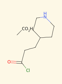 CC(=O)O.O=C(Cl)CCC1CCNCC1